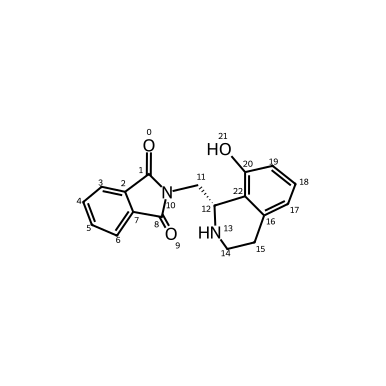 O=C1c2ccccc2C(=O)N1C[C@H]1NCCc2cccc(O)c21